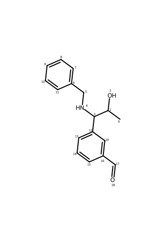 CC(O)C(NCc1ccccc1)c1cccc(C=O)c1